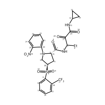 CCC(NC(=O)[C@@H]1C[C@@H](S(=O)(=O)c2ccccc2C(F)(F)F)CN1c1ccccc1[N+](=O)[O-])C(=O)C(=O)NC1CC1